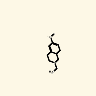 CCN1CCC2=CC(NI)=CCC2C1